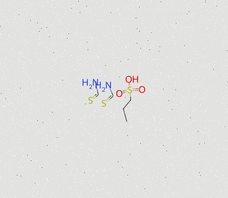 CCCS(=O)(=O)O.NC=S.NC=S